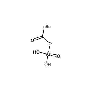 CCCCC(=O)O[As](=O)(O)O